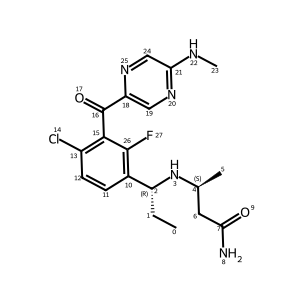 CC[C@@H](N[C@@H](C)CC(N)=O)c1ccc(Cl)c(C(=O)c2cnc(NC)cn2)c1F